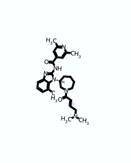 Cc1cc(C(=O)Nc2nc3cccc(C)c3n2[C@@H]2CCCCN(C(=O)/C=C/CN(C)C)C2)cc(C)n1